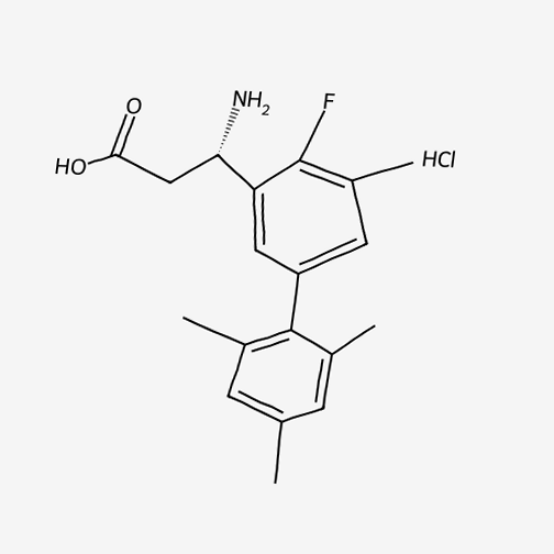 Cc1cc(C)c(-c2cc(C)c(F)c([C@@H](N)CC(=O)O)c2)c(C)c1.Cl